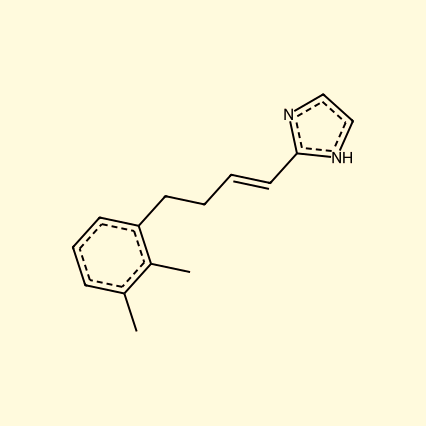 Cc1cccc(CCC=Cc2ncc[nH]2)c1C